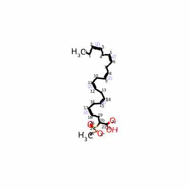 CC/C=C\C/C=C\C/C=C\C/C=C\C/C=C\C/C=C\CC(C(=O)O)S(C)(=O)=O